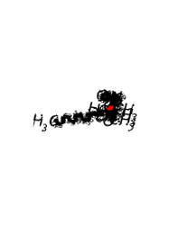 CC/C=C\C/C=C\C/C=C\C/C=C\C/C=C\C/C=C\CCC(=O)O[C@H](COc1nsnc1N1CCOCC1)CN(C(C)=O)C(C)(C)C